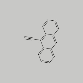 C#Cc1c2ccccc2cc2ccccc12